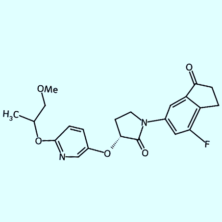 COCC(C)Oc1ccc(O[C@@H]2CCN(c3cc(F)c4c(c3)C(=O)CC4)C2=O)cn1